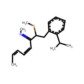 C\C=C/C=C\C(=N\C)C(Cc1ccccc1C(C)C)SC